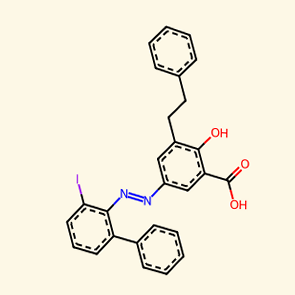 O=C(O)c1cc(/N=N/c2c(I)cccc2-c2ccccc2)cc(CCc2ccccc2)c1O